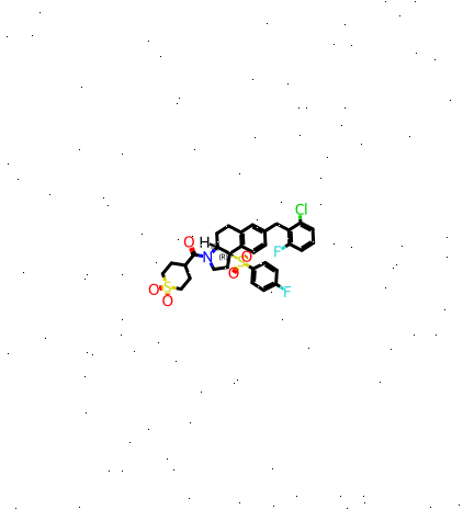 O=C(C1CCS(=O)(=O)CC1)N1CC[C@@]2(S(=O)(=O)c3ccc(F)cc3)c3ccc(Cc4c(F)cccc4Cl)cc3CC[C@@H]12